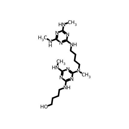 CNc1nc(NC)nc(NCCCCN(C)c2nc(NC)nc(NCCCCO)n2)n1